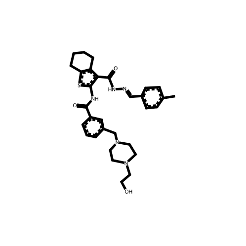 Cc1ccc(C=NNC(=O)c2c(NC(=O)c3cccc(CN4CCN(CCO)CC4)c3)sc3c2CCCC3)cc1